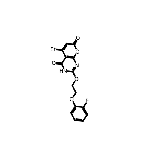 CCc1cc(=O)oc2nc(OCCOc3ccccc3F)[nH]c(=O)c12